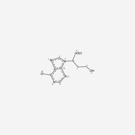 CCCCCCCCC(CCO)n1cnc2c(Cl)ncnc21